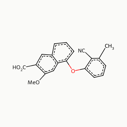 COc1cc2c(Oc3cccc(C)c3C#N)cccc2cc1C(=O)O